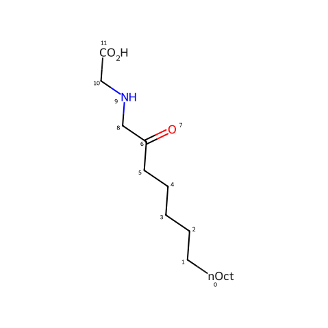 CCCCCCCCCCCCCC(=O)CNCC(=O)O